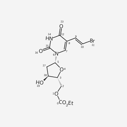 CCOC(=O)OC[C@H]1O[C@@H](n2cc(/C=C/Br)c(=O)[nH]c2=O)C[C@@H]1O